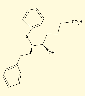 O=C(O)CCC[C@@H](O)[C@@H](CCc1ccccc1)Sc1ccccc1